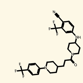 N#Cc1ccc(NC2CCN(C(=O)CCC3CCN(c4ccc(C(F)(F)F)cc4)CC3)CC2)cc1C(F)(F)F